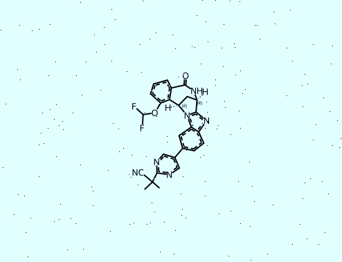 CC(C)(C#N)c1ncc(-c2ccc3nc4n(c3c2)[C@@H]2C[C@H]4NC(=O)c3cccc(OC(F)F)c32)cn1